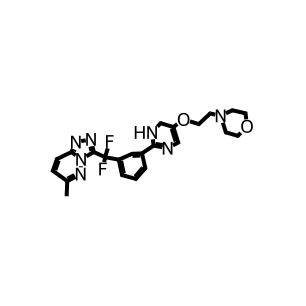 Cc1ccc2nnc(C(F)(F)c3cccc(C4=NC=C(OCCN5CCOCC5)CN4)c3)n2n1